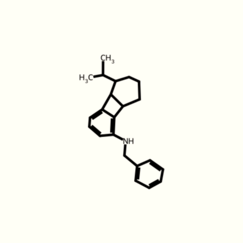 CC(C)C1CCCC2c3c(NCc4ccccc4)cccc3C21